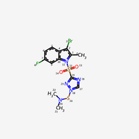 Cc1c(Br)c2ccc(F)cc2n1S(=O)(=O)c1ncn(SN(C)C)n1